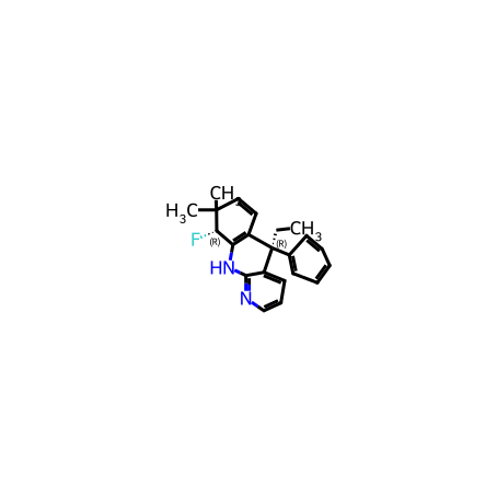 CC[C@@]1(c2ccccc2)C2=C(Nc3ncccc31)[C@H](F)C(C)(C)C=C2